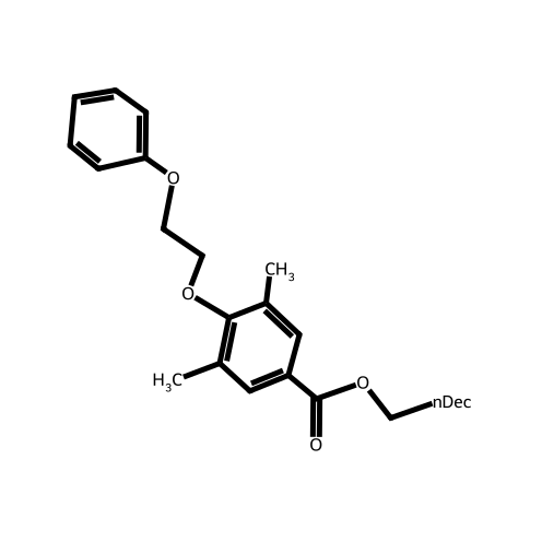 CCCCCCCCCCCOC(=O)c1cc(C)c(OCCOc2ccccc2)c(C)c1